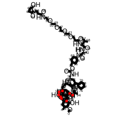 COc1c(C)cc2c(c1O)[C@@H]1C3[C@@H]4SC[C@]5(N[C@@H](CNC(=O)OCc6ccc(NC(=O)[C@H](C)NC(=O)[C@@H](NC(=O)CCOCCOCCOCCOCCNC(=O)CCN7C(=O)C=CC7O)C(C)C)cc6)Cc6c5[nH]c5ccccc65)C(=O)OC[C@@H](c5c6c(c(C)c(OC(C)=O)c54)OCO6)N3C(O)(C2)CN1C